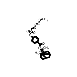 COOOSCS(=O)(=O)Oc1ccc(C(=O)OC(C)(C)C23CC4CC(CC(C4)C2)C3)cc1